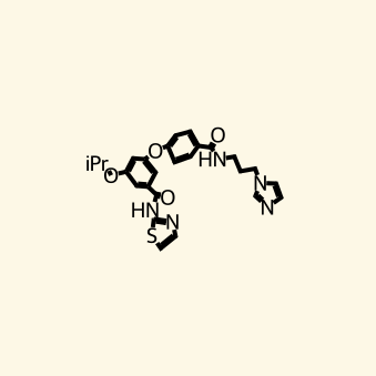 CC(C)Oc1cc(Oc2ccc(C(=O)NCCCn3ccnc3)cc2)cc(C(=O)Nc2nccs2)c1